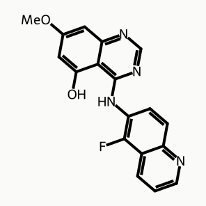 COc1cc(O)c2c(Nc3ccc4ncccc4c3F)ncnc2c1